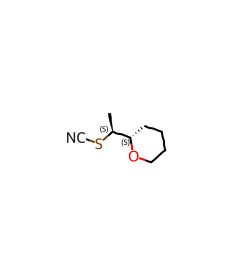 C[C@H](SC#N)[C@@H]1CCCCO1